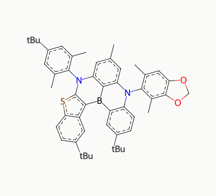 Cc1cc2c3c(c1)N(c1c(C)cc(C(C)(C)C)cc1C)c1sc4ccc(C(C)(C)C)cc4c1B3c1cc(C(C)(C)C)ccc1N2c1c(C)cc2c(c1C)OCO2